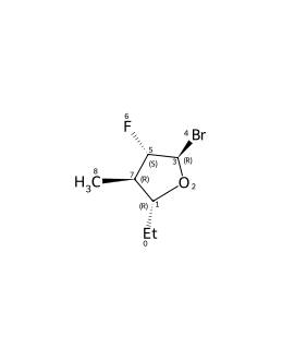 CC[C@H]1O[C@H](Br)[C@@H](F)[C@@H]1C